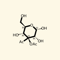 CC(=O)O[C@@]1(C(C)=O)[C@H](O)[C@@H](CO)O[C@H](O)[C@@H]1O